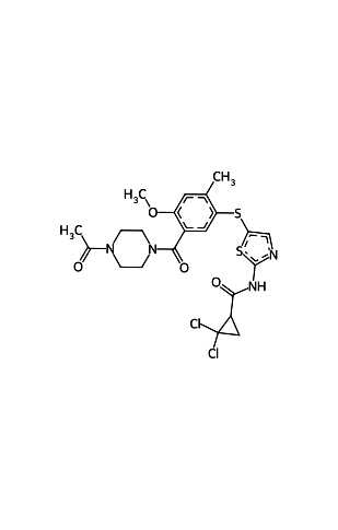 COc1cc(C)c(Sc2cnc(NC(=O)C3CC3(Cl)Cl)s2)cc1C(=O)N1CCN(C(C)=O)CC1